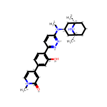 CN(c1ccc(-c2ccc(-c3ccn(C)c(=O)c3)cc2O)nn1)[C@@H]1C[C@]2(C)CCC[C@](C)(C1)N2